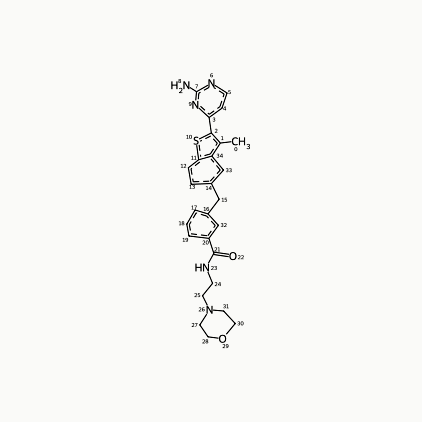 Cc1c(-c2ccnc(N)n2)sc2ccc(Cc3cccc(C(=O)NCCN4CCOCC4)c3)cc12